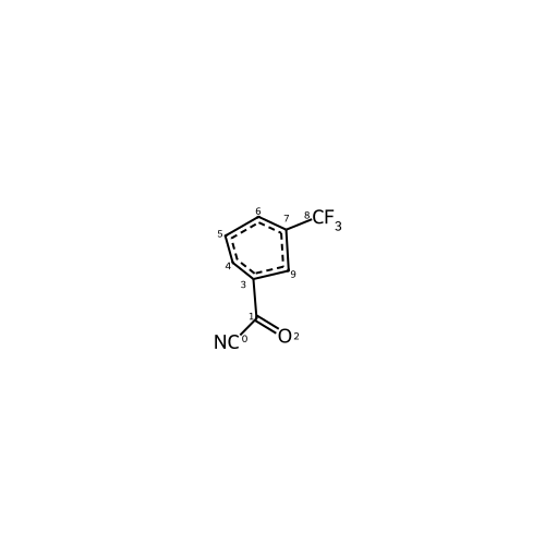 N#CC(=O)c1cccc(C(F)(F)F)c1